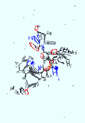 COc1ccc(C(NC[C@H]2O[C@@H](n3ccc(=O)[nH]c3=O)[C@H](O[Si](C)(C)C(C)(C)C)[C@@H]2OP(N)O)(c2ccccc2)c2ccccc2)cc1